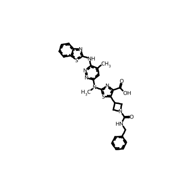 Cc1cc(N(C)c2nc(C(=O)O)c(C3CN(C(=O)NCc4ccccc4)C3)s2)nnc1Nc1nc2ccccc2s1